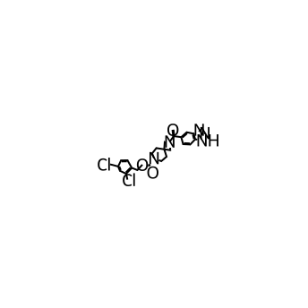 O=C(OCc1ccc(Cl)cc1Cl)N1CCC2(CC1)CN(C(=O)c1ccc3[nH]nnc3c1)C2